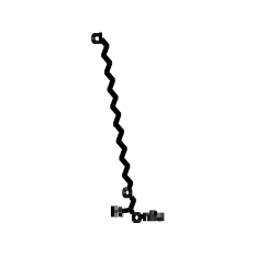 CCCCOC(CC)COCCCCCCCCCCCCCCCCCCl